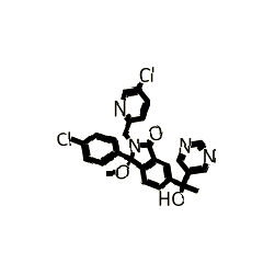 CO[C@]1(c2ccc(Cl)cc2)c2ccc(C(C)(O)c3cncnc3)cc2C(=O)N1Cc1ccc(Cl)cn1